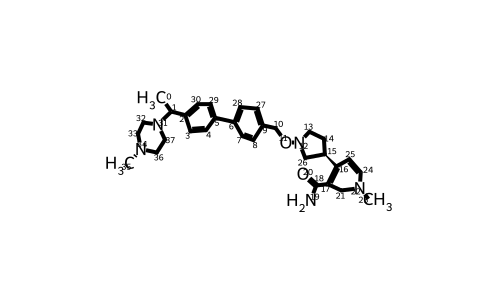 CC(c1ccc(-c2ccc(CON3CC[C@@H](C4=C(C(N)=O)CN(C)C=C4)C3)cc2)cc1)N1CCN(C)CC1